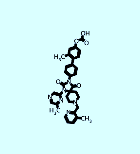 Cc1cncc(N2C(=O)N(c3ccc(-c4ccc(OC(=O)O)cc4C)cc3)C(=O)C23CCN(Cc2ncccc2C)CC3)n1